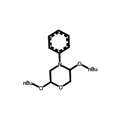 CCCCOC1CN(c2ccccc2)C(OCCCC)CO1